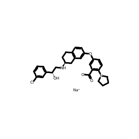 O=C([O-])c1cc(Oc2ccc3c(c2)C[C@@H](NC[C@H](O)c2cccc(Cl)c2)CC3)ccc1N1CCCC1.[Na+]